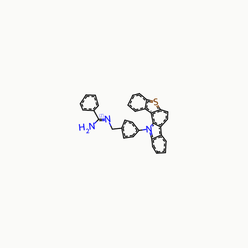 N/C(=N\Cc1ccc(-n2c3ccccc3c3ccc4sc5ccccc5c4c32)cc1)c1ccccc1